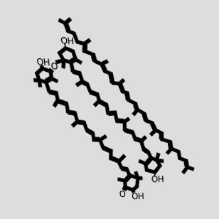 CC(C)=CCC/C(C)=C/C=C/C(C)=C/C=C/C(C)=C/C=C/C=C(C)/C=C/C=C(C)/C=C/C=C(\C)CCC=C(C)C.CC1=C(/C=C/C(C)=C/C=C/C(C)=C/C=C/C=C(C)/C=C/C=C(C)/C=C/C2=C(C)C(=O)C(O)CC2(C)C)C(C)(C)CC(O)C1=O.CC1=C(/C=C/C(C)=C/C=C/C(C)=C/C=C/C=C(C)/C=C/C=C(C)/C=C/C2=C(C)C[C@@H](O)CC2(C)C)C(C)(C)C[C@H](O)C1